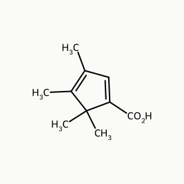 CC1=C(C)C(C)(C)C(C(=O)O)=C1